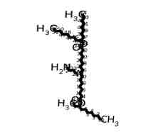 CCCCCCCCC(CC)OC(=O)CCCCCCCN(CCCN)CCCCCCCC(=O)OC(CCCCCCCC)CCCCCCCC